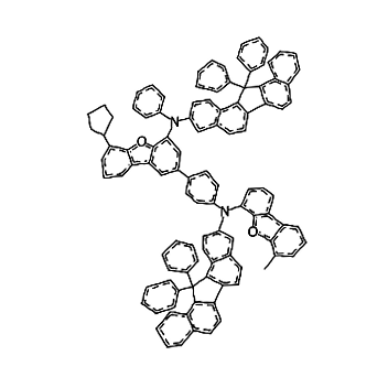 Cc1cccc2c1oc1c(N(c3ccc(-c4cc(N(c5ccccc5)c5ccc6c7c(ccc6c5)-c5ccc6ccccc6c5C7(c5ccccc5)c5ccccc5)c5oc6c(C7CCCC7)cccc6c5c4)cc3)c3ccc4c5c(ccc4c3)-c3ccc4ccccc4c3C5(c3ccccc3)c3ccccc3)cccc12